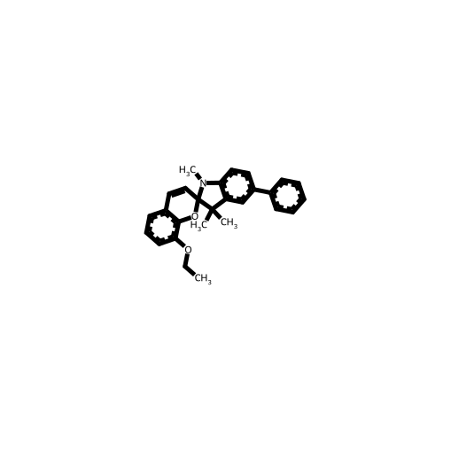 CCOc1cccc2c1OC1(C=C2)N(C)c2ccc(-c3ccccc3)cc2C1(C)C